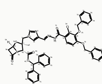 C[C@@]1(Cn2cnc(/C=N/NC(=O)c3ccc(OCc4ccccc4)c(OCc4ccccc4)c3Cl)c2)S[C@@H]2CC(=O)N2[C@H]1C(=O)OC(c1ccccc1)c1ccccc1